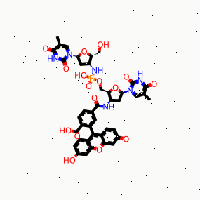 Cc1cn([C@H]2C[C@@H](NC(=O)c3ccc(C(=O)O)c(-c4c5ccc(=O)cc-5oc5cc(O)ccc45)c3)[C@@H](COP(=O)(O)N[C@@H]3C[C@H](n4cc(C)c(=O)[nH]c4=O)O[C@@H]3CO)O2)c(=O)[nH]c1=O